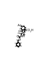 CC(=O)N1CCC(CP(=O)(O)[C@H](C)NC(=O)OCc2ccccc2)(C(=O)O)CC1